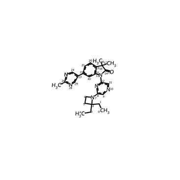 CCC1(CC)CCN1c1cncc(N2C(=O)C(C)(C)c3ccc(-c4cnc(C)nc4)cc32)n1